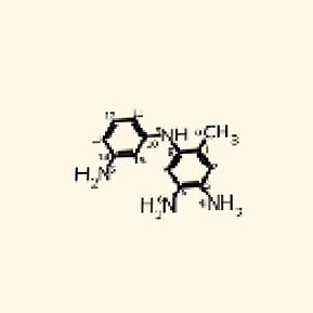 Cc1cc(N)c(N)cc1Nc1cccc(N)c1